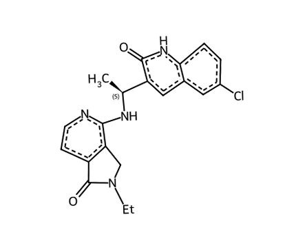 CCN1Cc2c(ccnc2N[C@@H](C)c2cc3cc(Cl)ccc3[nH]c2=O)C1=O